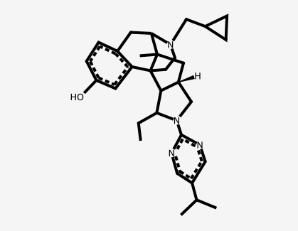 CCC1C2[C@@H](CN1c1ncc(C(C)C)cn1)CC1(C)C3Cc4ccc(O)cc4C21CCN3CC1CC1